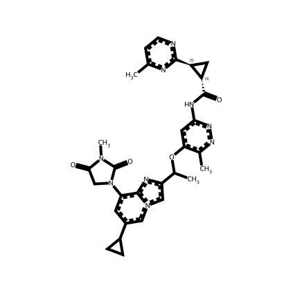 Cc1ccnc([C@H]2C[C@@H]2C(=O)Nc2cc(OC(C)c3cn4cc(C5CC5)cc(N5CC(=O)N(C)C5=O)c4n3)c(C)nn2)n1